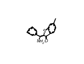 Cc1ccc2c(c1)SC(=C(N)c1ccccc1)C2=O